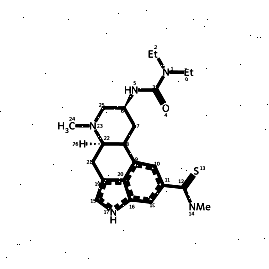 CCN(CC)C(=O)N[C@H]1CC2c3cc(C(=S)NC)cc4[nH]cc(c34)C[C@H]2N(C)C1